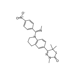 CN=C(c1ccc([N+](=O)[O-])cc1)N1CCCc2cc(C3=NN(C)C(=O)SC3(C)C)ccc21